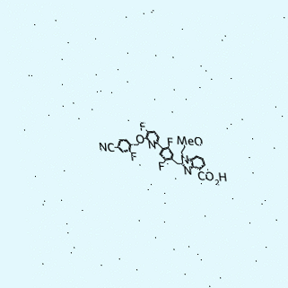 COCCn1c(Cc2cc(F)c(-c3ccc(F)c(OCc4ccc(C#N)cc4F)n3)cc2F)nc2c(C(=O)O)cccc21